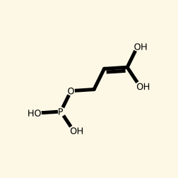 OC(O)=CCOP(O)O